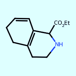 CCOC(=O)C1NCCC2=C1C=CCC2